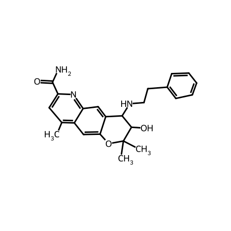 Cc1cc(C(N)=O)nc2cc3c(cc12)OC(C)(C)C(O)C3NCCc1ccccc1